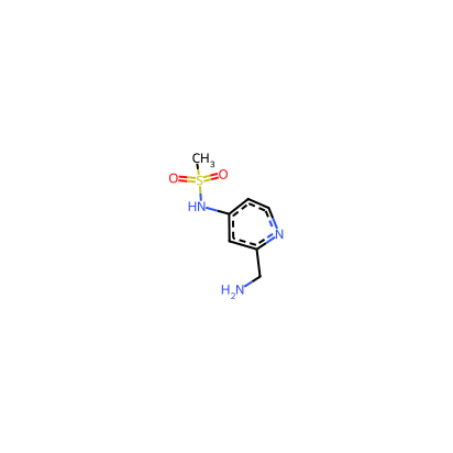 CS(=O)(=O)Nc1ccnc(CN)c1